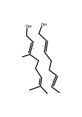 C/C=C/CC/C=C/CO.CC(C)=CCC/C(C)=C/CO